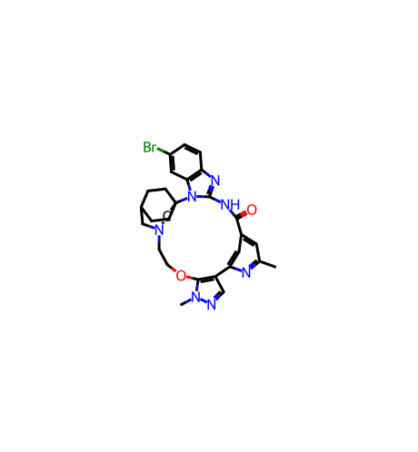 Cc1cc2cc(n1)-c1cnn(C)c1OCCN1CC3CCC(CC3)(C1)n1c(nc3ccc(Br)cc31)NC2=O